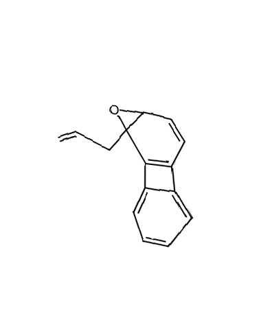 C=CCC12OC1C=CC1=C2c2ccccc21